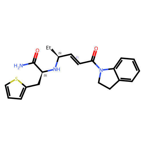 CC[C@@H](/C=C/C(=O)N1CCc2ccccc21)N[C@@H](Cc1cccs1)C(N)=O